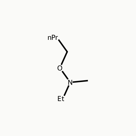 CCCCON(C)CC